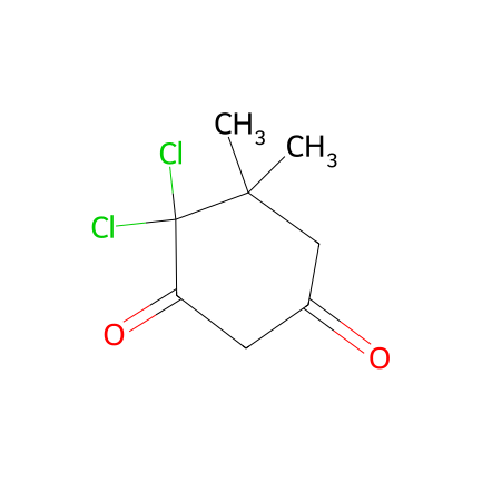 CC1(C)CC(=O)CC(=O)C1(Cl)Cl